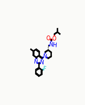 Cc1ccc2c(N3CCC[C@@H](CNC(=O)OCC(C)C)C3)nc(-c3ccccc3F)nc2c1